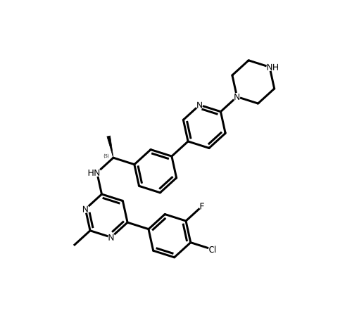 Cc1nc(N[C@@H](C)c2cccc(-c3ccc(N4CCNCC4)nc3)c2)cc(-c2ccc(Cl)c(F)c2)n1